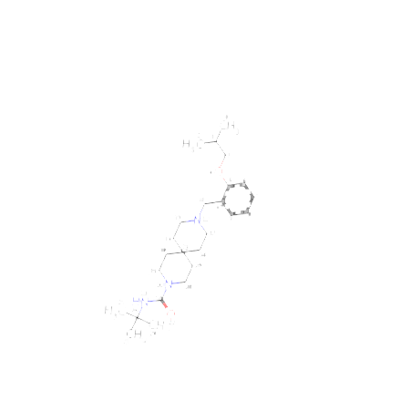 CC(C)COc1ccccc1CN1CCC2(CC1)CCN(C(=O)NC(C)(C)C)CC2